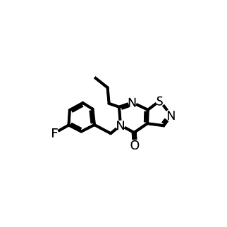 CCCc1nc2sncc2c(=O)n1Cc1cccc(F)c1